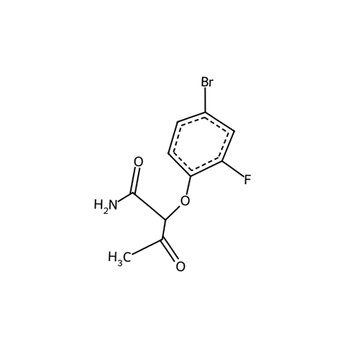 CC(=O)C(Oc1ccc(Br)cc1F)C(N)=O